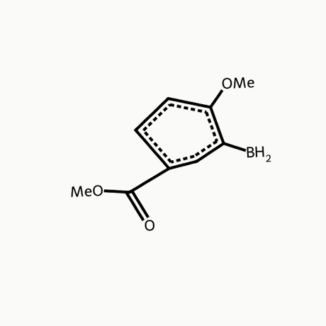 Bc1cc(C(=O)OC)ccc1OC